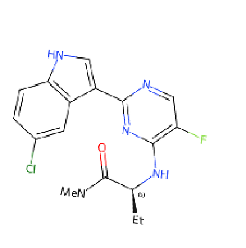 CC[C@H](Nc1nc(-c2c[nH]c3ccc(Cl)cc23)ncc1F)C(=O)NC